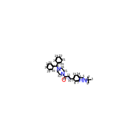 CC(C)(C)NCc1ccc(/C=C/C(=O)N2CCN(C(c3ccccc3)c3ccccc3)CC2)cc1